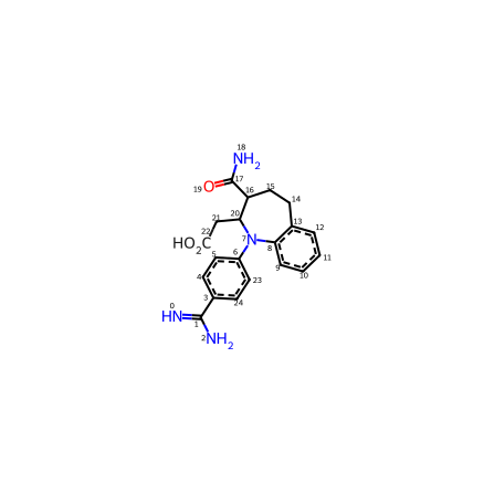 N=C(N)c1ccc(N2c3ccccc3CCC(C(N)=O)C2CC(=O)O)cc1